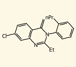 C=C1c2ccc(Cl)cc2N=C(CC)N1c1ccccc1CCC